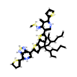 C=C1C(c2cccs2)=NC=C(c2cc3c(s2)-c2sc(-c4cnc(C5=CCCS5)c5nsnc45)cc2C3(CC(CC)CCCC)CC(CC)CCCC)/C1=N/SC